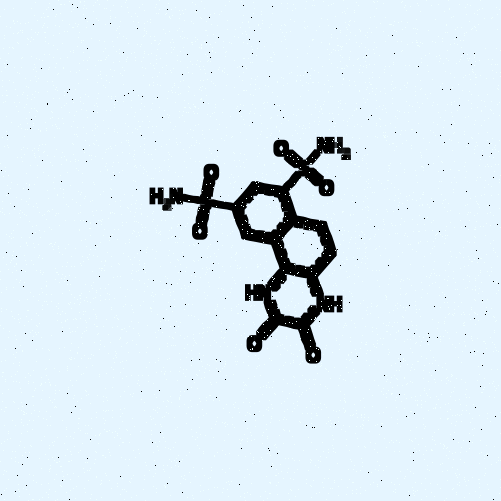 NS(=O)(=O)c1cc(S(N)(=O)=O)c2ccc3[nH]c(=O)c(=O)[nH]c3c2c1